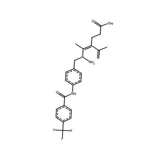 C=C(C)/C(CCC(=O)O)=C(/C)N(N)Cc1ccc(NC(=O)c2ccc(C(F)(F)F)cc2)cc1